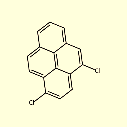 Clc1ccc2c(Cl)cc3cccc4ccc1c2c43